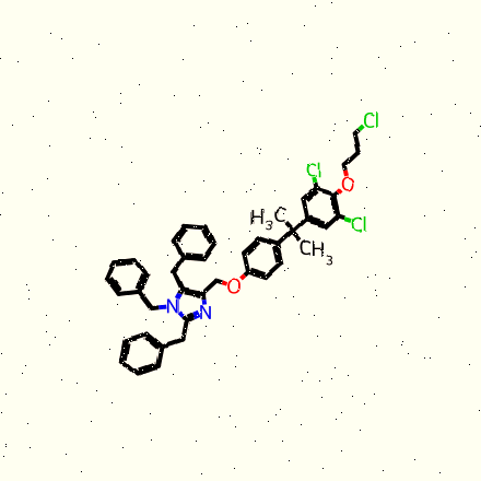 CC(C)(c1ccc(OCc2nc(Cc3ccccc3)n(Cc3ccccc3)c2Cc2ccccc2)cc1)c1cc(Cl)c(OCCCCl)c(Cl)c1